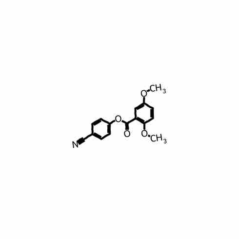 COc1ccc(OC)c(C(=O)Oc2ccc(C#N)cc2)c1